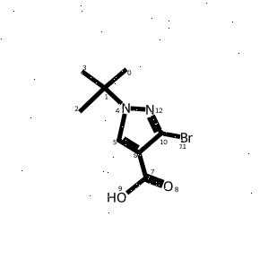 CC(C)(C)n1cc(C(=O)O)c(Br)n1